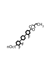 C=CC1COC(c2ccc(-c3ccc(-c4ccc(CCCCCCCC)c(F)c4F)cc3)c(F)c2)OC1